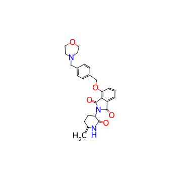 C=C1CCC(N2C(=O)c3cccc(OCc4ccc(CN5CCOCC5)cc4)c3C2=O)C(=O)N1